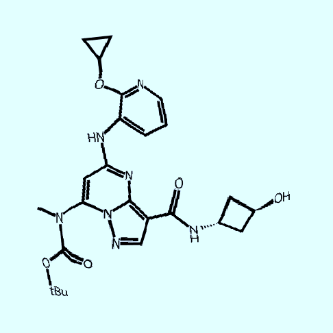 CN(C(=O)OC(C)(C)C)c1cc(Nc2cccnc2OC2CC2)nc2c(C(=O)N[C@H]3C[C@H](O)C3)cnn12